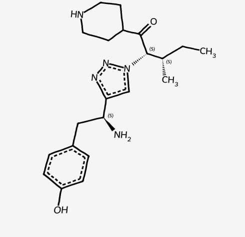 CC[C@H](C)[C@@H](C(=O)C1CCNCC1)n1cc([C@@H](N)Cc2ccc(O)cc2)nn1